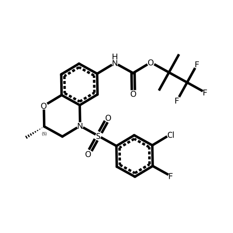 C[C@H]1CN(S(=O)(=O)c2ccc(F)c(Cl)c2)c2cc(NC(=O)OC(C)(C)C(F)(F)F)ccc2O1